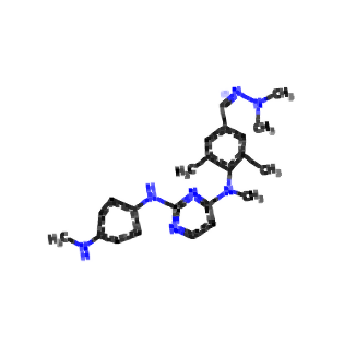 CNc1ccc(Nc2nccc(N(C)c3c(C)cc(/C=N\N(C)C)cc3C)n2)cc1